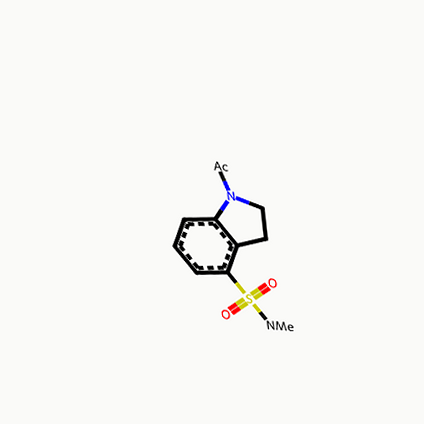 CNS(=O)(=O)c1cccc2c1CCN2C(C)=O